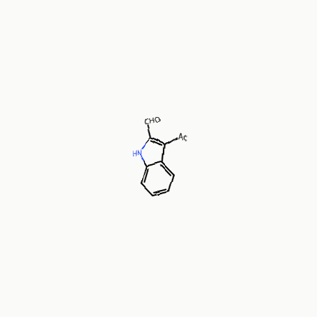 CC(=O)c1c(C=O)[nH]c2ccccc12